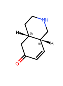 O=C1C=C[C@H]2CNCC[C@H]2C1